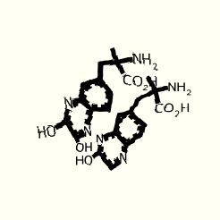 CC(N)(Cc1ccc2nc(O)c(O)nc2c1)C(=O)O.CC(N)(Cc1ccc2ncc(O)nc2c1)C(=O)O